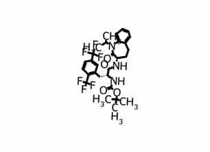 CC(C)N1C(=O)[C@H](NC(=O)[C@@H](Cc2cc(C(F)(F)F)ccc2C(F)(F)F)NC(=O)OC(C)(C)C)CCc2ccccc21